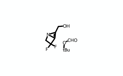 CC(C)(C)OC=O.OCC1=C2N1CC2(F)F